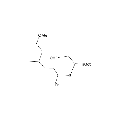 CCCCCCCCC(CC=O)SC(CCC(C)CCOC)C(C)C